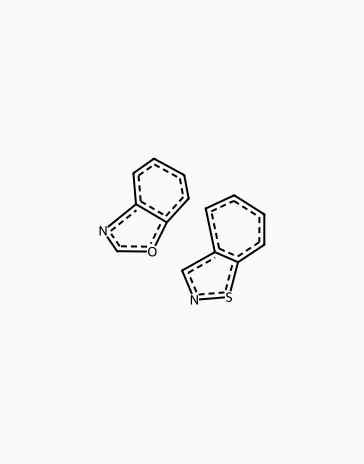 c1ccc2ocnc2c1.c1ccc2sncc2c1